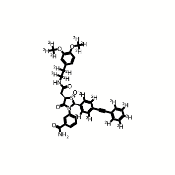 [2H]c1c([2H])c([2H])c(C#Cc2c([2H])c([2H])c([C@H]3N(c4cccc(C(N)=O)c4)C(=O)[C@@H](CC(=O)NC([2H])([2H])C([2H])([2H])c4ccc(OC([2H])([2H])[2H])c(OC([2H])([2H])[2H])c4)[S@@+]3[O-])c([2H])c2[2H])c([2H])c1[2H]